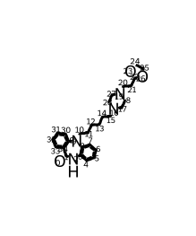 O=C1Nc2ccccc2N(CCCCCCN2CCN(CCC3OCCO3)CC2)c2ccccc21